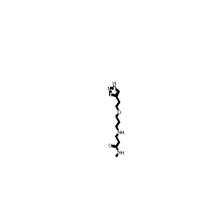 CNC(=O)CCNCCCOCCc1c[nH]nn1